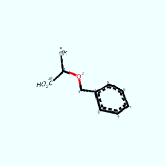 CCCC(OCc1ccccc1)C(=O)O